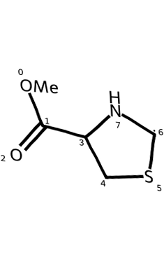 COC(=O)C1CS[CH]N1